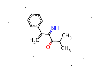 C=C(C(=N)C(=O)C(C)C)c1ccccc1